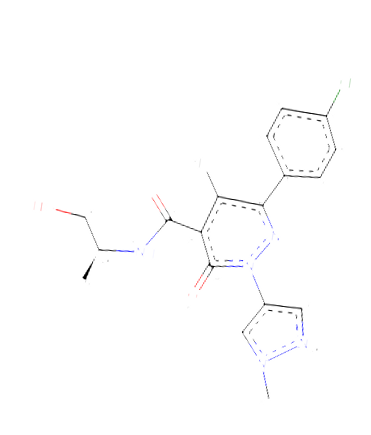 [2H]c1c(-c2ccc(Cl)cc2)nn(-c2cnn(C)c2)c(=O)c1C(=O)N[C@@H](C)CO